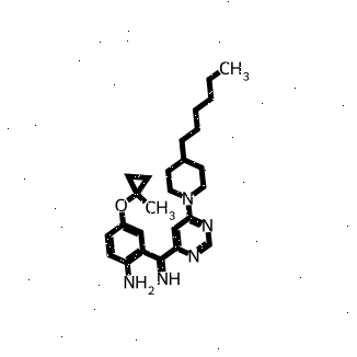 CCCCCCC1CCN(c2cc(C(=N)c3cc(OC4(C)CC4)ccc3N)ncn2)CC1